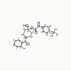 Cc1ccccc1C(=O)N1CCC(O)(OC(=O)Nc2ccc(C(C)(C)C)cc2)CC1